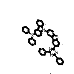 c1ccc(-c2nc(-c3ccccc3)nc(-c3ccc4sc5ccc(-n6c7ccccc7c7cc(N(c8ccccc8)c8ccccc8)ccc76)cc5c4c3)n2)cc1